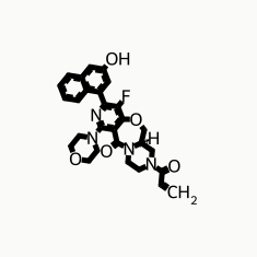 C=CC(=O)N1CCN2C(=O)c3c(N4CCOCC4)nc(-c4cc(O)cc5ccccc45)c(F)c3OC[C@H]2C1